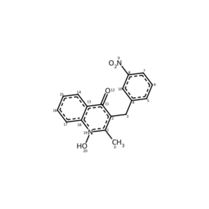 Cc1c(Cc2cccc([N+](=O)[O-])c2)c(=O)c2ccccc2n1O